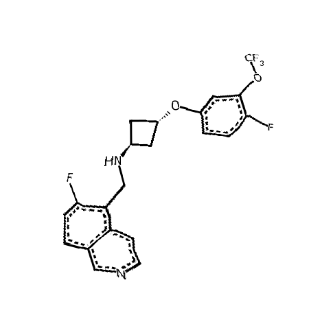 Fc1ccc(O[C@H]2C[C@H](NCc3c(F)ccc4cnccc34)C2)cc1OC(F)(F)F